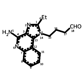 CCc1nc2c(N)nc3ccccc3c2n1CCCC=O